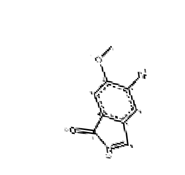 COc1cc2c(cc1Br)C=NC2=O